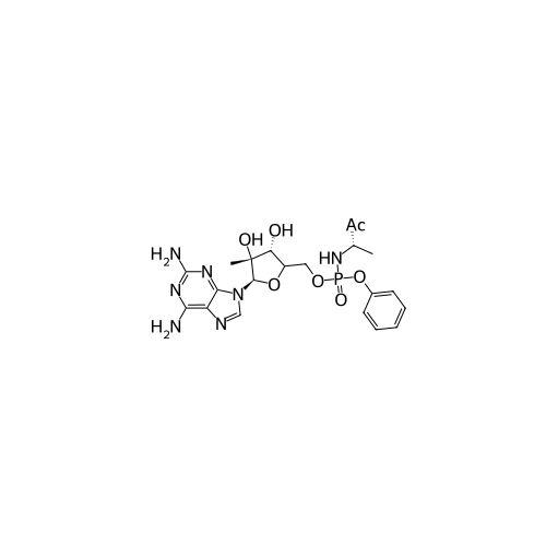 CC(=O)[C@H](C)NP(=O)(OCC1O[C@@H](n2cnc3c(N)nc(N)nc32)[C@](C)(O)[C@@H]1O)Oc1ccccc1